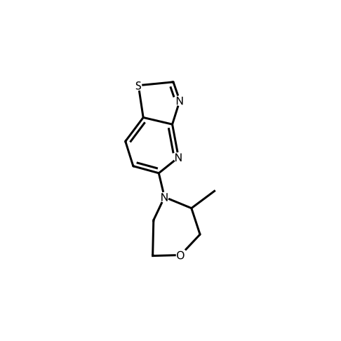 CC1COCCN1c1ccc2scnc2n1